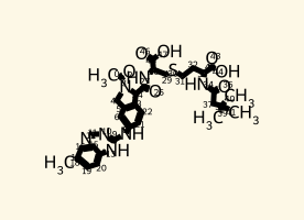 CC(=O)N1Cc2cc(NC(=NC#N)Nc3ccc(C)cc3)ccc2C1C(=O)NC(CSCCC(NC(=O)CC(C)(C)C)C(=O)O)C(=O)O